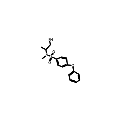 CC(CS)N(C)S(=O)(=O)c1ccc(Oc2ccccc2)cc1